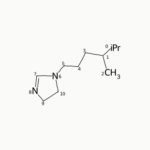 CC(C)C(C)CCCN1C=NCC1